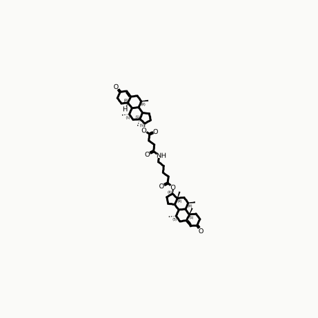 C[C@@H]1CC2=CC(=O)CC[C@@H]2C2C1C1CC[C@H](OC(=O)CCC(=O)NCCCCC(=O)O[C@@H]3CCC4C5C([C@H](C)C[C@]43C)[C@]3(C)CCC(=O)C=C3C[C@@H]5C)[C@@]1(C)C[C@@H]2C